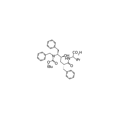 CC(C)C(NC(=O)[C@H](Cc1ccccc1)C[C@H](O)[C@H](Cc1ccccc1)N(Cc1ccccc1)C(=O)OC(C)(C)C)C(=O)O